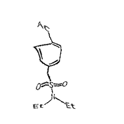 CCN(CC)S(=O)(=O)c1ccc(C(C)=O)cc1